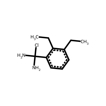 CCc1cccc(C(N)(N)Cl)c1CC